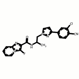 CC(Cn1ccc(-c2ccc(C#N)c(Cl)c2)n1)NC(=O)c1nc2ccccn2c1F